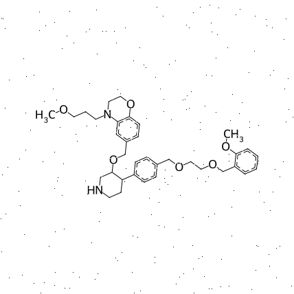 COCCCN1CCOc2ccc(COC3CNCCC3c3ccc(COCCOCc4ccccc4OC)cc3)cc21